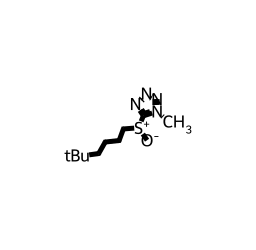 Cn1nnnc1[S+]([O-])CCCCC(C)(C)C